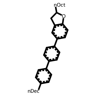 CCCCCCCCCCc1ccc(-c2ccc(-c3ccc4c(c3)CC(CCCCCCCC)O4)cc2)cc1